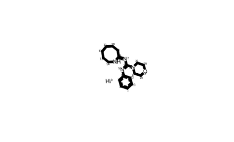 I.c1ccc(N=C(N=C2CCCCCCN2)N2CCOCC2)cc1